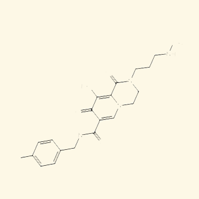 CC(C)(C)NCCCN1CCn2cc(C(=O)NCc3ccc(F)cc3)c(=O)c(O)c2C1=O